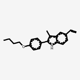 C=Cc1ccc2[nH]c(-c3ccc(OCCCC)cc3)c(C)c2c1